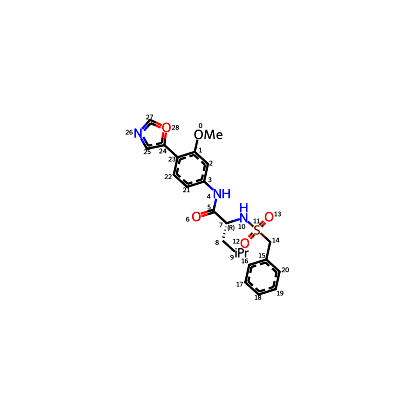 COc1cc(NC(=O)[C@@H](CC(C)C)NS(=O)(=O)Cc2ccccc2)ccc1-c1cnco1